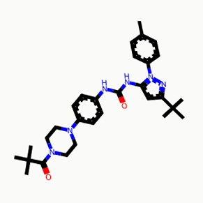 Cc1ccc(-n2nc(C(C)(C)C)cc2NC(=O)Nc2ccc(N3CCN(C(=O)C(C)(C)C)CC3)cc2)cc1